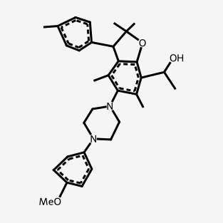 COc1ccc(N2CCN(c3c(C)c(C(C)O)c4c(c3C)C(c3ccc(C)cc3)C(C)(C)O4)CC2)cc1